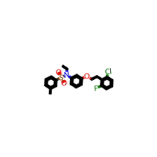 CCN(c1cccc(OCCc2c(F)cccc2Cl)c1)S(=O)(=O)c1cccc(C)c1